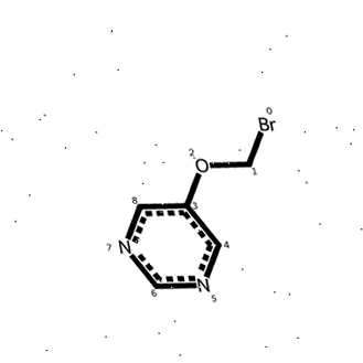 BrCOc1cncnc1